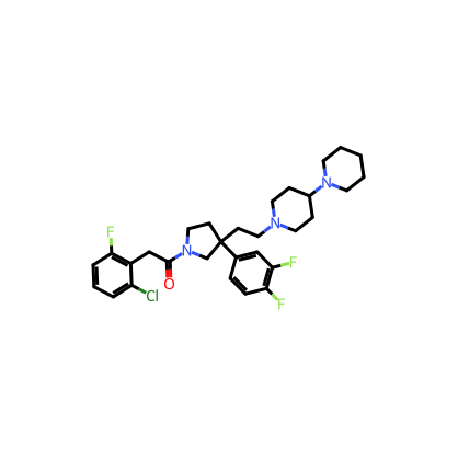 O=C(Cc1c(F)cccc1Cl)N1CCC(CCN2CCC(N3CCCCC3)CC2)(c2ccc(F)c(F)c2)C1